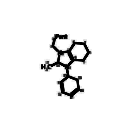 CCCC(C)CN1C2=C(CCCC2)N(C2C=CC=CC2)C1C